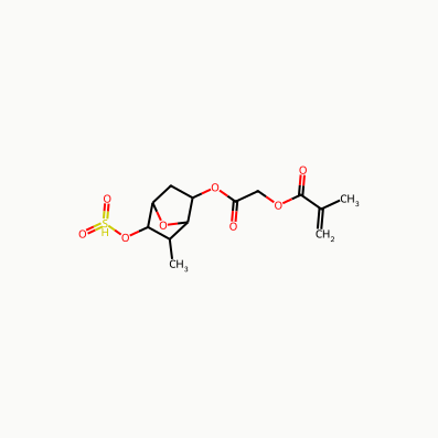 C=C(C)C(=O)OCC(=O)OC1CC2OC1C(C)C2O[SH](=O)=O